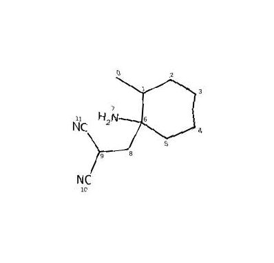 CC1CCCCC1(N)CC(C#N)C#N